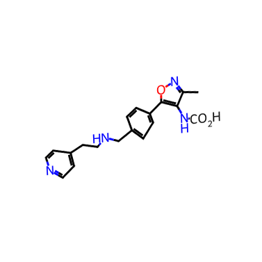 Cc1noc(-c2ccc(CNCCc3ccncc3)cc2)c1NC(=O)O